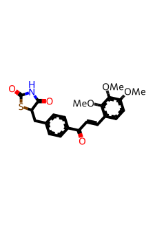 COc1ccc(C=CC(=O)c2ccc(CC3SC(=O)NC3=O)cc2)c(OC)c1OC